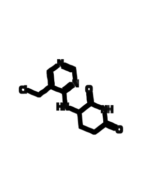 O=C1CCC(Nc2ncncc2CCl)C(=O)N1